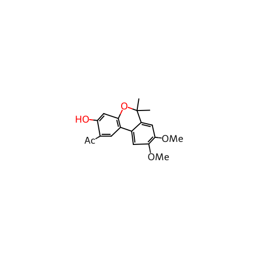 COc1cc2c(cc1OC)C(C)(C)Oc1cc(O)c(C(C)=O)cc1-2